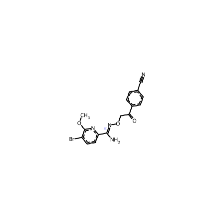 COc1nc(/C(N)=N/OCC(=O)c2ccc(C#N)cc2)ccc1Br